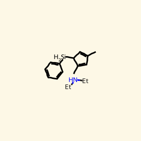 CC1=C[C]([SiH2]c2ccccc2)C(C)=C1.CCNCC